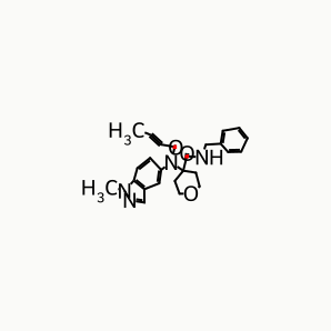 CC#CC(=O)N(c1ccc2c(cnn2C)c1)C1(C(=O)NCc2ccccc2)CCOCC1